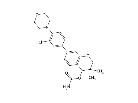 CC1(C)COc2cc(-c3ccc(N4CCOCC4)c(Cl)c3)ccc2C1OC(N)=O